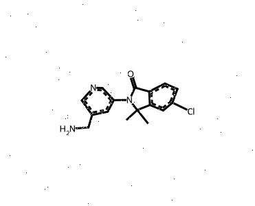 CC1(C)c2cc(Cl)ccc2C(=O)N1c1cncc(CN)c1